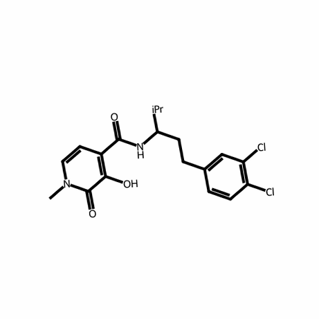 CC(C)C(CCc1ccc(Cl)c(Cl)c1)NC(=O)c1ccn(C)c(=O)c1O